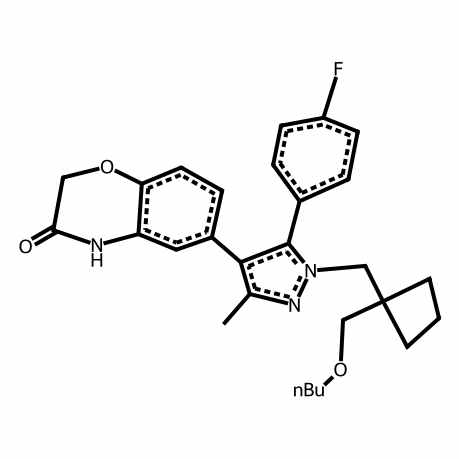 CCCCOCC1(Cn2nc(C)c(-c3ccc4c(c3)NC(=O)CO4)c2-c2ccc(F)cc2)CCC1